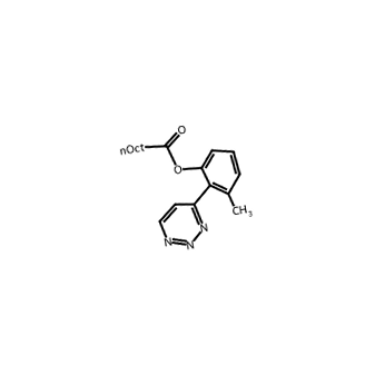 CCCCCCCCC(=O)Oc1cccc(C)c1-c1ccnnn1